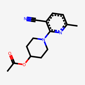 CC(=O)OC1CCN(c2nc(C)ccc2C#N)CC1